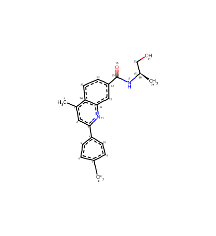 Cc1cc(-c2ccc(C(F)(F)F)cc2)nc2cc(C(=O)N[C@H](C)CO)ccc12